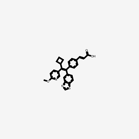 COc1ccc(C(=C(c2ccc(C=CC(=O)O)cc2)c2ccc3scnc3c2)C2CCC2)cn1